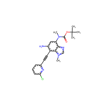 CN(C(=O)OC(C)(C)C)c1cc(N)c(C#Cc2cccc(Cl)n2)c2c1ncn2C